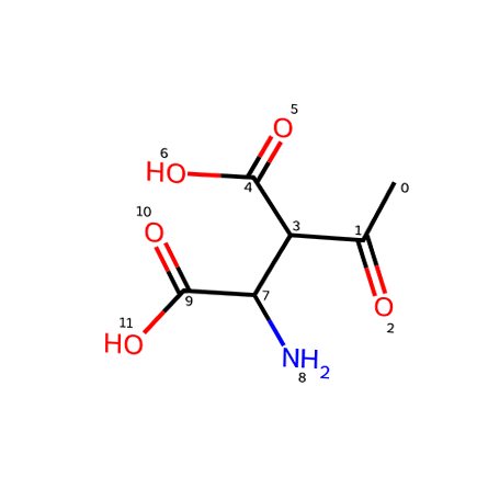 CC(=O)C(C(=O)O)C(N)C(=O)O